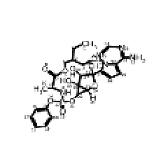 CCC(CC)COC(=O)[C@H](C)NP(=O)(Oc1ccccc1)OC1[C@H]2O[C@@](C)(c3ccc4c(N)ncnn34)[C@H](O)[C@@]12O